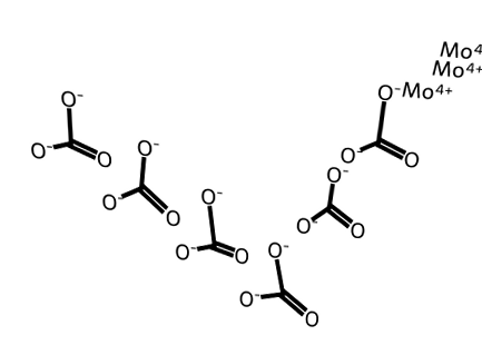 O=C([O-])[O-].O=C([O-])[O-].O=C([O-])[O-].O=C([O-])[O-].O=C([O-])[O-].O=C([O-])[O-].[Mo+4].[Mo+4].[Mo+4]